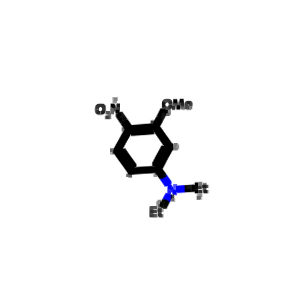 CCN(CC)c1ccc([N+](=O)[O-])c(OC)c1